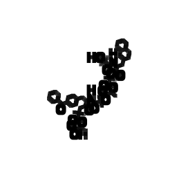 CC(OC(=O)C(C)(C)CC(=O)C(Cc1ccc(C(=O)c2ccccc2)cc1)NC(=O)C(C)(C)OC(=O)C(C)OC(=O)C(C)(C)OC(=O)C(Cc1ccc2ccccc2c1)NC(=O)C(C)(C)O)C(=O)O